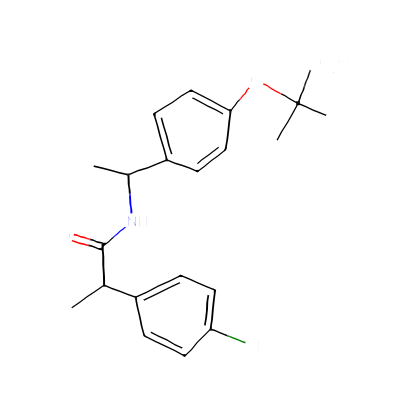 CCOC(=O)C(C)(C)Oc1ccc(C(C)NC(=O)C(C)c2ccc(Cl)cc2)cc1